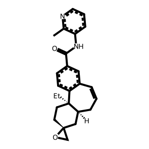 CC[C@@]12CC[C@]3(CO3)C[C@@H]1CC=Cc1cc(C(=O)Nc3cccnc3C)ccc12